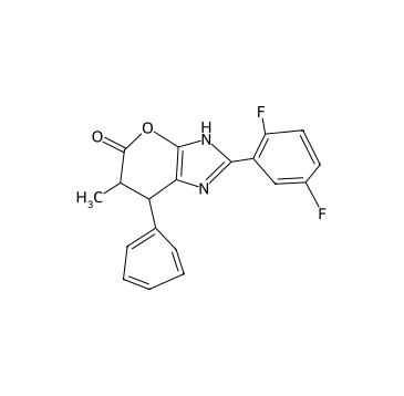 CC1C(=O)Oc2[nH]c(-c3cc(F)ccc3F)nc2C1c1ccccc1